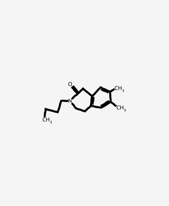 CCCCN1CCc2cc(C)c(C)cc2CC1=O